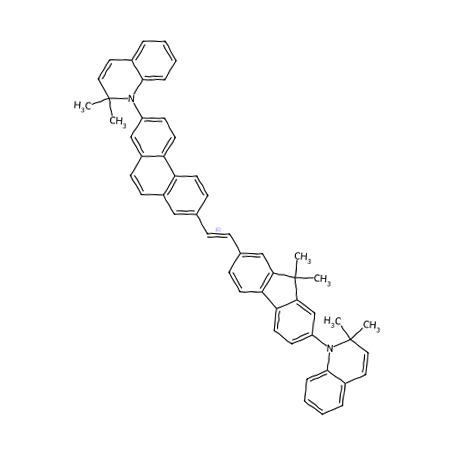 CC1(C)c2cc(/C=C/c3ccc4c(ccc5cc(N6c7ccccc7C=CC6(C)C)ccc54)c3)ccc2-c2ccc(N3c4ccccc4C=CC3(C)C)cc21